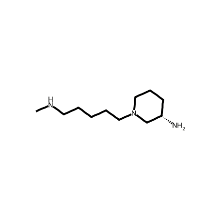 CNCCCCCN1CCC[C@H](N)C1